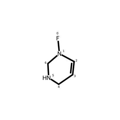 FN1C=CCNC1